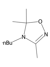 CCC[CH]N1C(C)=NOC1(C)C